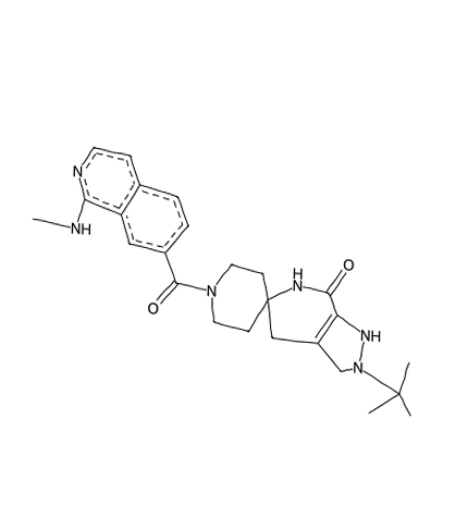 CNc1nccc2ccc(C(=O)N3CCC4(CC3)CC3=C(NN(C(C)(C)C)C3)C(=O)N4)cc12